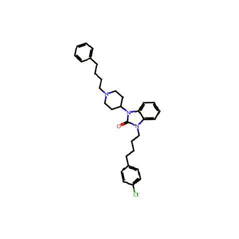 O=c1n(CCCCc2ccc(Cl)cc2)c2ccccc2n1C1CCN(CCCCc2ccccc2)CC1